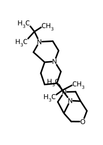 CC(C)(C)N1CCN2CC(N3CC4COCC(C3)N4C(C)(C)C)CCC2C1